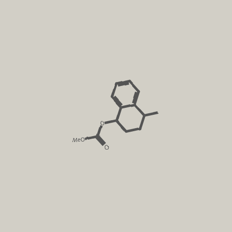 COC(=O)OC1CCC(C)c2ccccc21